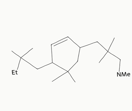 CCC(C)(C)CC1C=CC(CC(C)(C)CNC)CC1(C)C